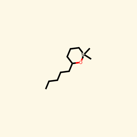 CCCCCC1CCC[Si](C)(C)O1